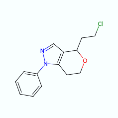 ClCCC1OCCc2c1cnn2-c1ccccc1